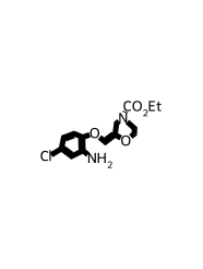 CCOC(=O)N1CCOC(=COc2ccc(Cl)cc2N)C1